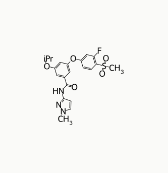 CC(C)Oc1cc(Oc2ccc(S(C)(=O)=O)c(F)c2)cc(C(=O)Nc2ccn(C)n2)c1